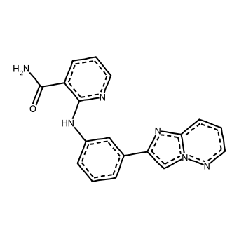 NC(=O)c1cccnc1Nc1cccc(-c2cn3ncccc3n2)c1